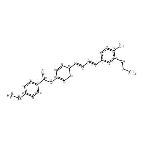 CCOc1cc(/C=N/N=C/C2C=CC(OC(=O)c3ccc(OC)cc3)=CC2)ccc1O